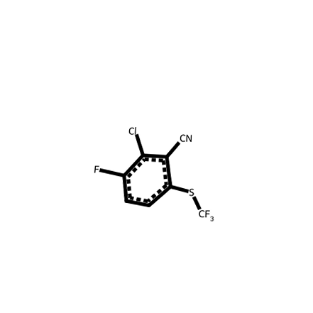 N#Cc1c(SC(F)(F)F)ccc(F)c1Cl